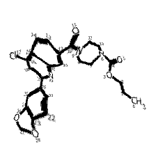 CCCOC(=O)N1CCN(C(=O)c2ccc3c(Cl)cc(-c4ccc5c(c4)OCO5)nc3c2)CC1